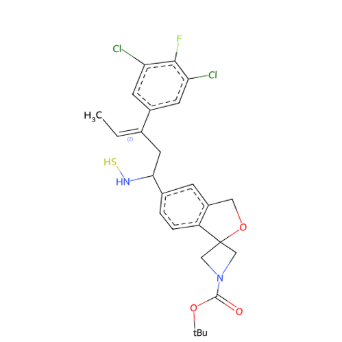 C/C=C(/CC(NS)c1ccc2c(c1)COC21CN(C(=O)OC(C)(C)C)C1)c1cc(Cl)c(F)c(Cl)c1